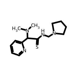 CN(C)C(C(=S)NCN1CCCC1)c1ccccn1